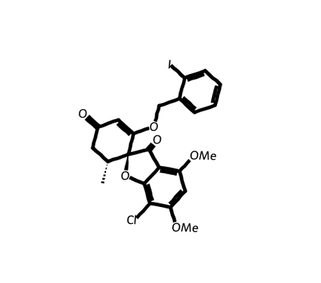 COc1cc(OC)c2c(c1Cl)O[C@]1(C2=O)C(OCc2ccccc2I)=CC(=O)C[C@H]1C